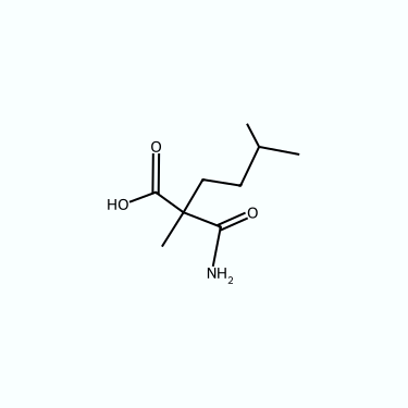 CC(C)CCC(C)(C(N)=O)C(=O)O